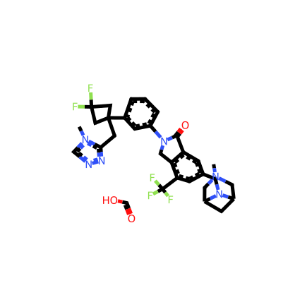 CN1CC2CC(C1)N2Cc1cc2c(c(C(F)(F)F)c1)CN(c1cccc(C3(Cc4nncn4C)CC(F)(F)C3)c1)C2=O.O=CO